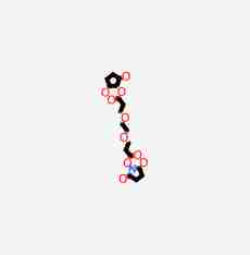 O=C(CCOCCOCCC(=O)ON1C(=O)CCC1=O)OC1C(=O)CCC1=O